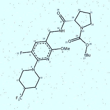 COc1nc(N2CCC(C(F)(F)F)CC2)c(F)cc1CNC(=O)[C@@H]1CCCN1C(=O)OC(C)(C)C